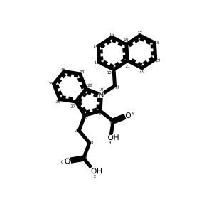 O=C(O)CCc1c(C(=O)O)n(Cc2cccc3ccccc23)c2ccccc12